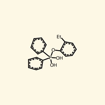 CCc1ccccc1OP(O)(O)(c1ccccc1)c1ccccc1